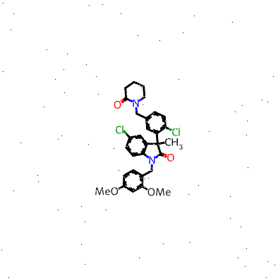 COc1ccc(CN2C(=O)C(C)(c3cc(CN4CCCCC4=O)ccc3Cl)c3cc(Cl)ccc32)c(OC)c1